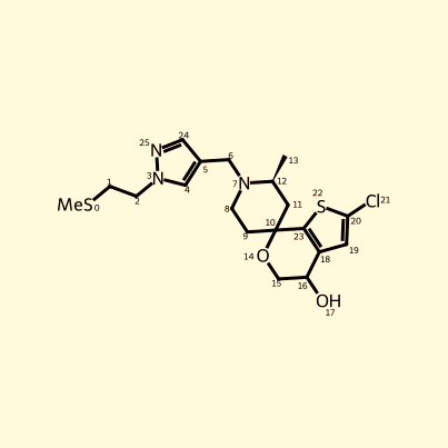 CSCCn1cc(CN2CCC3(C[C@@H]2C)OCC(O)c2cc(Cl)sc23)cn1